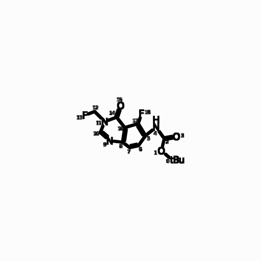 CC(C)(C)OC(=O)Nc1ccc2ncn(CF)c(=O)c2c1F